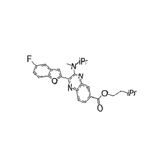 CC(C)CCOC(=O)c1ccc2nc(-c3cc4cc(F)ccc4o3)c(N(C)C(C)C)nc2c1